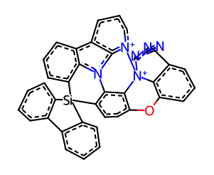 c1ccc2c(c1)-c1ccccc1[Si]21c2ccc3c4c2-n2c5c1cccc5c1ccc[n+](c12)[N+]41c2c(cccc2-c2ncnc[n+]21)O3